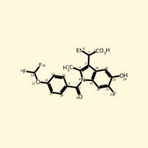 CCC(C(=O)O)c1c(C)n(C(=O)c2ccc(OC(F)F)cc2)c2cc(F)c(O)cc12